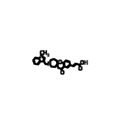 Cn1cc(CN2CCCC3(CC2)CC(=O)c2cc(/C=C/C(=O)O)ccc2O3)c2ccccc21